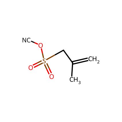 C=C(C)CS(=O)(=O)OC#N